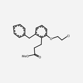 COC(=O)CCc1c(Cc2ccccc2)cccc1OCCCl